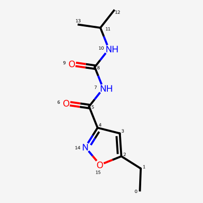 CCc1cc(C(=O)NC(=O)NC(C)C)no1